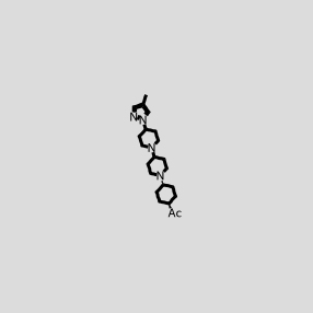 Cc1cnn(C2CCN(C3CCN([C@H]4CC[C@H](C(C)=O)CC4)CC3)CC2)c1